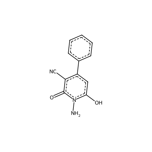 N#Cc1c(-c2ccccc2)cc(O)n(N)c1=O